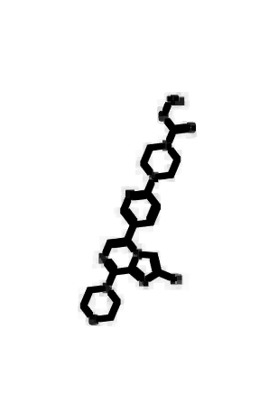 CCc1cn2c(-c3ccc(N4CCN(C(=O)OC(C)(C)C)CC4)nc3)cnc(N3CCOCC3)c2n1